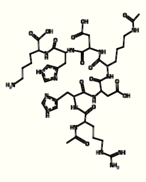 CC(=O)NCCCCC(NC(=O)C(CC(=O)O)NC(=O)C(Cc1c[nH]cn1)NC(=O)C(CCCNC(=N)N)NC(C)=O)C(=O)NC(CC(=O)O)C(=O)NC(Cc1c[nH]cn1)C(=O)NC(CCCCN)C(=O)O